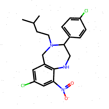 CC(C)CCN1Cc2cc(Cl)cc([N+](=O)[O-])c2NCC1c1ccc(Cl)cc1